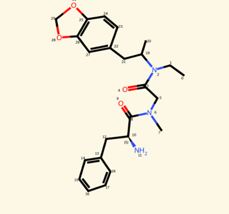 CCN(C(=O)CN(C)C(=O)[C@@H](N)Cc1ccccc1)C(C)Cc1ccc2c(c1)OCO2